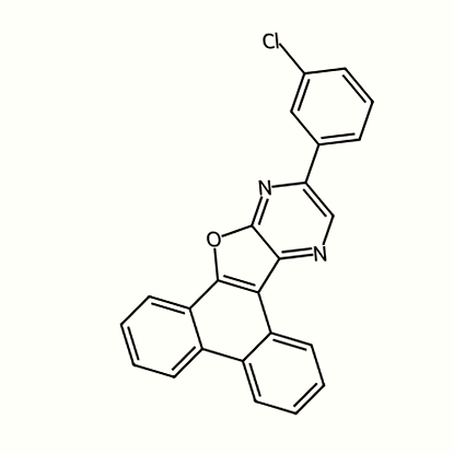 Clc1cccc(-c2cnc3c(n2)oc2c4ccccc4c4ccccc4c32)c1